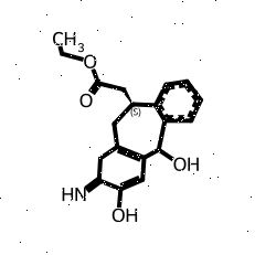 CCOC(=O)C[C@@H]1CC2=C(C=C(O)C(=N)C2)C(O)c2ccccc21